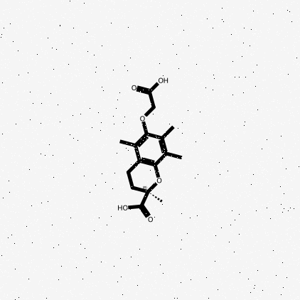 Cc1c(C)c2c(c(C)c1OCC(=O)O)CC[C@](C)(C(=O)O)O2